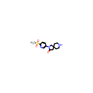 CS(=O)(=O)c1ccc(N2CC3(CCNCC3)CC2=O)cn1